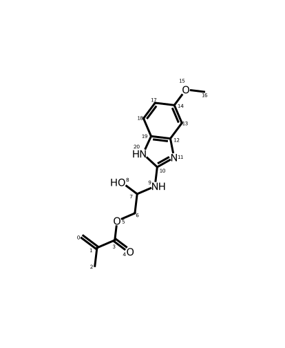 C=C(C)C(=O)OCC(O)Nc1nc2cc(OC)ccc2[nH]1